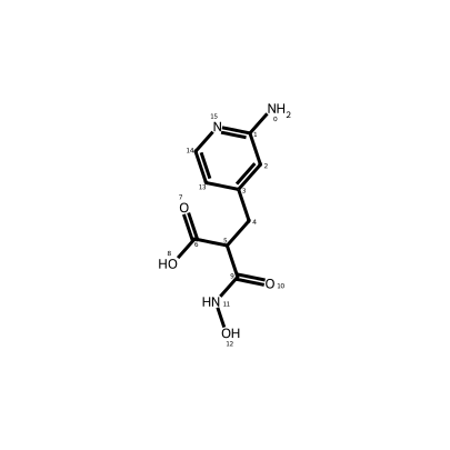 Nc1cc(CC(C(=O)O)C(=O)NO)ccn1